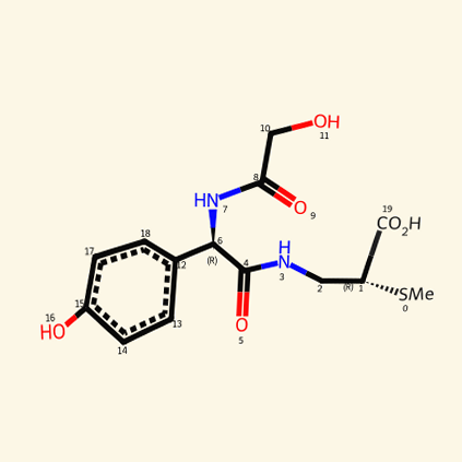 CS[C@H](CNC(=O)[C@H](NC(=O)CO)c1ccc(O)cc1)C(=O)O